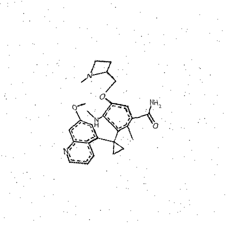 CNc1c(OCC2CCN2C)cc(C(N)=O)c(C)c1C1(c2cc(OC)cc3ncccc23)CC1